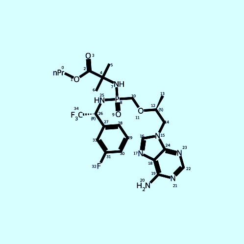 CCCOC(=O)C(C)(C)NP(=O)(CO[C@@H](C)Cn1cnc2c(N)ncnc21)N[C@H](c1cccc(F)c1)C(F)(F)F